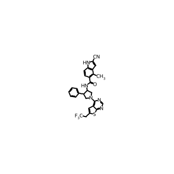 Cc1c(C(=O)NC2CN(c3ncnc4sc(CC(F)(F)F)cc34)CC2c2ccccc2)ccc2[nH]c(C#N)cc12